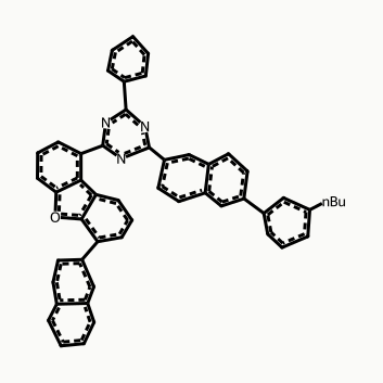 CCCCc1cccc(-c2ccc3cc(-c4nc(-c5ccccc5)nc(-c5cccc6oc7c(-c8ccc9ccccc9c8)cccc7c56)n4)ccc3c2)c1